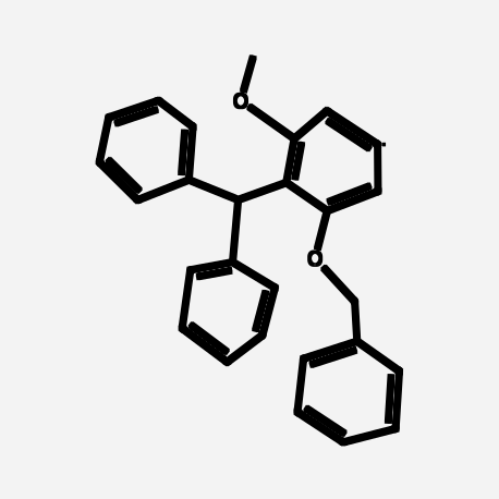 COc1c[c]cc(OCc2ccccc2)c1C(c1ccccc1)c1ccccc1